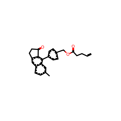 C=CCCC(=O)OCc1ccc(-c2c3c(cc4ccc(C)cc24)CCC3=O)cc1